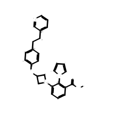 COC(=O)c1cccc(N2CC(Oc3ccc(CCc4cccnc4)cc3)C2)c1-n1cccc1